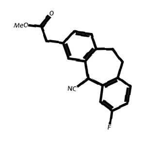 COC(=O)Cc1ccc2c(c1)C(C#N)c1cc(F)ccc1CC2